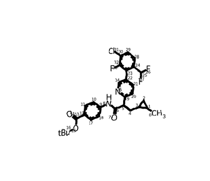 CC1CC1CC(C(=O)Nc1ccc(C(=O)OC(C)(C)C)cc1)c1ccc(-c2c(C(F)F)ccc(Cl)c2F)cn1